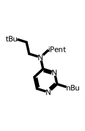 CCCCc1nccc(N(CCC(C)(C)C)C(C)CCC)n1